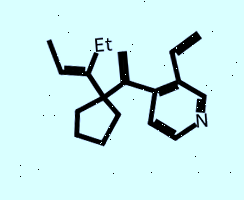 C=Cc1cnccc1C(=C)C1(/C(=C/C)CC)CCCC1